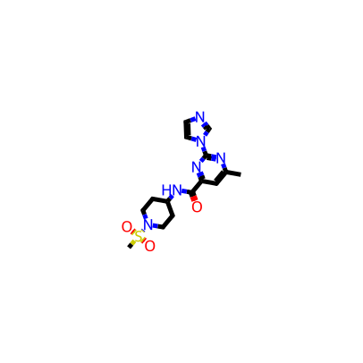 Cc1cc(C(=O)NC2CCN(S(C)(=O)=O)CC2)nc(-n2ccnc2)n1